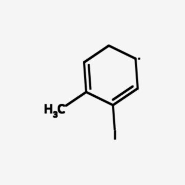 CC1=CC[CH]C=C1I